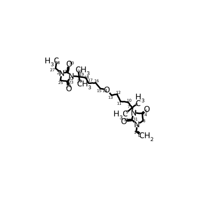 C=CN1CC(=O)N(C(C)(C)CCCCOCCCCC(C)(C)N2C(=O)CN(CC)C2=O)C1=O